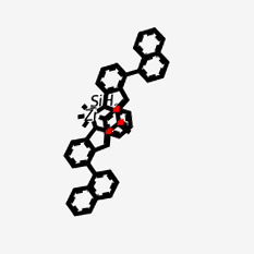 CCC1=Cc2c(-c3cccc4ccccc34)cccc2[CH]1[Zr]([CH3])([CH3])([CH3])(=[SiH2])([c]1ccccc1)[CH]1C(CC)=Cc2c(-c3cccc4ccccc34)cccc21